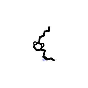 CC/C=C\CC1CCOC(CCCCC)O1